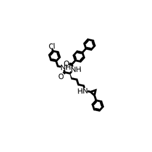 O=C(N[C@@H](CCCCNC1CC1c1ccccc1)C(=O)NCc1ccc(Cl)cc1)c1ccc(-c2ccccc2)cc1